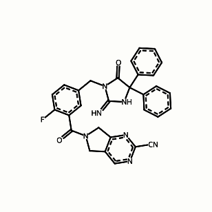 N#Cc1ncc2c(n1)CN(C(=O)c1cc(CN3C(=N)NC(c4ccccc4)(c4ccccc4)C3=O)ccc1F)C2